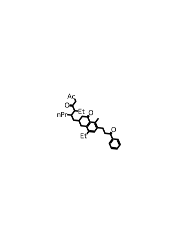 CCCC(CC1CC(=O)c2c(C)c(CCC(=O)c3ccccc3)cc(CC)c2C1)C(CC)C(=O)CC(C)=O